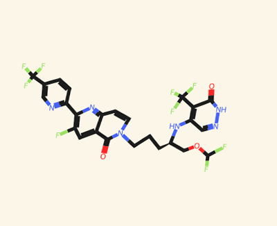 O=c1[nH]ncc(N[C@H](CCCn2ccc3nc(-c4ccc(C(F)(F)F)cn4)c(F)cc3c2=O)COC(F)F)c1C(F)(F)F